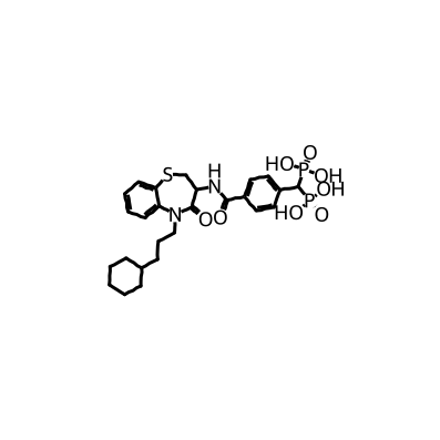 O=C(NC1CSc2ccccc2N(CCCC2CCCCC2)C1=O)c1ccc(C(P(=O)(O)O)P(=O)(O)O)cc1